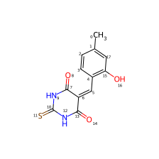 Cc1ccc(C=C2C(=O)NC(=S)NC2=O)c(O)c1